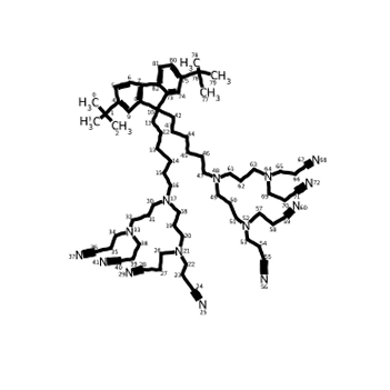 CC(C)(C)c1ccc2c(c1)C(CCCCCCN(CCCN(CCC#N)CCC#N)CCCN(CCC#N)CCC#N)(CCCCCCN(CCCN(CCC#N)CCC#N)CCCN(CCC#N)CCC#N)c1cc(C(C)(C)C)ccc1-2